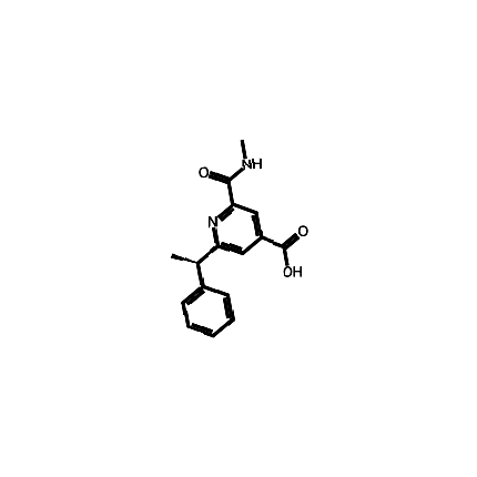 CNC(=O)c1cc(C(=O)O)cc([C@H](C)c2ccccc2)n1